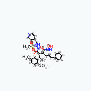 CC(C)C[C@@H](C(=O)NN(Cc1ccncc1)S(C)(=O)=O)[C@H](CC=Cc1ccccc1)C(=O)NO.Cc1ccc(S(=O)(=O)O)cc1